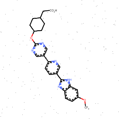 O=C(O)CC1CCC(Oc2ncc(-c3ccc(-c4nc5ccc(OC(F)(F)F)cc5[nH]4)cn3)cn2)CC1